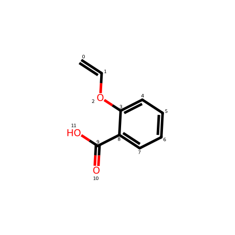 C=COc1ccccc1C(=O)O